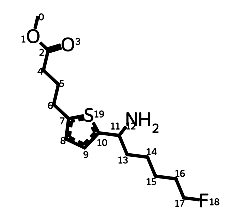 COC(=O)CCCc1ccc(C(N)CCCCCF)s1